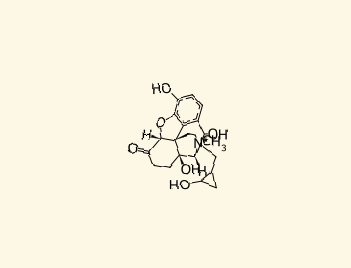 C[N@+]1(CC2CC2O)CC[C@]23c4c5ccc(O)c4O[C@H]2C(=O)CC[C@@]3(O)[C@H]1C5O